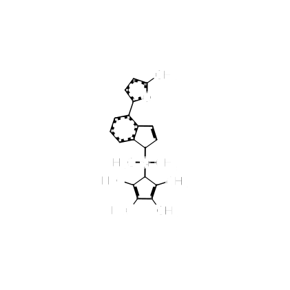 CC1=C(C)C([Si](C)(C)C2C=Cc3c(-c4ccc(C)o4)cccc32)C(C)=C1C